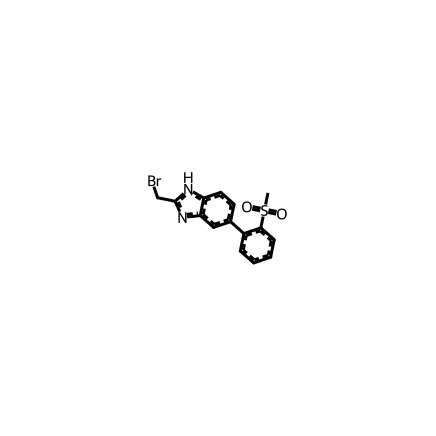 CS(=O)(=O)c1ccccc1-c1ccc2[nH]c(CBr)nc2c1